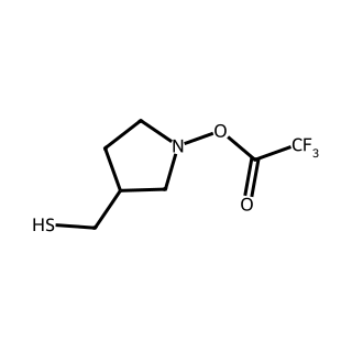 O=C(ON1CCC(CS)C1)C(F)(F)F